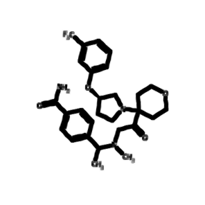 CC(c1ccc(C(N)=O)cc1)N(C)CC(=O)C1(N2CC[C@@H](Oc3cccc(C(F)(F)F)c3)C2)CCOCC1